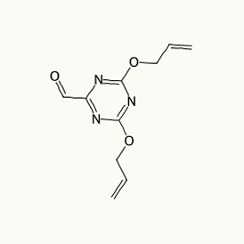 C=CCOc1nc(C=O)nc(OCC=C)n1